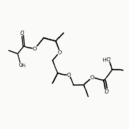 CC(COC(=O)C(C)O)OCC(C)OCC(C)OC(=O)C(C)O